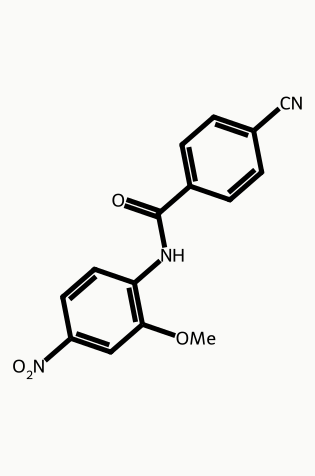 COc1cc([N+](=O)[O-])ccc1NC(=O)c1ccc(C#N)cc1